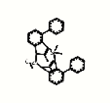 CC1=C2c3c(-c4ccccc4)cccc3[CH]1[Zr][CH]1C(C)=C(c3c(-c4ccccc4)cccc31)[Si]2(C)C.CCl